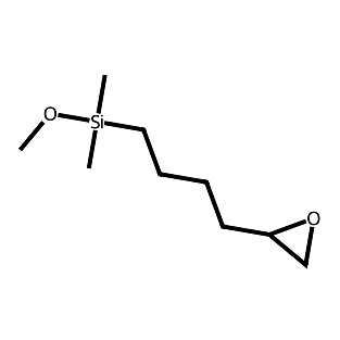 CO[Si](C)(C)CCCCC1CO1